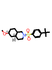 CO[C@H]1CCC2CN(S(=O)(=O)c3ccc(C(C)(C)C)cc3)CC[C@H]2C1